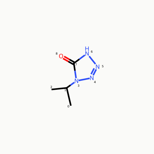 CC(C)n1nn[nH]c1=O